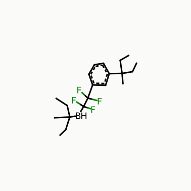 CCC(C)(BC(F)(F)C(F)(F)c1cccc(C(C)(CC)CC)c1)CC